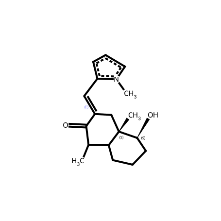 CC1C(=O)/C(=C/c2cccn2C)C[C@@]2(C)C1CCC[C@@H]2O